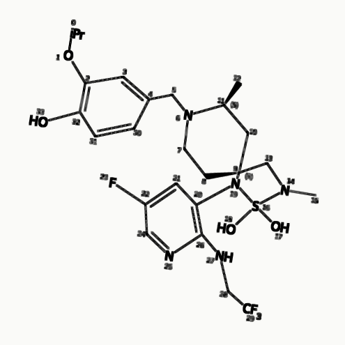 CC(C)Oc1cc(CN2CC[C@@]3(C[C@@H]2C)CN(C)S(O)(O)N3c2cc(F)cnc2NCC(F)(F)F)ccc1O